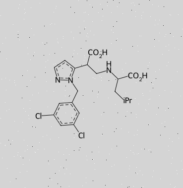 CC(C)CC(NCC(C(=O)O)c1ccnn1Cc1cc(Cl)cc(Cl)c1)C(=O)O